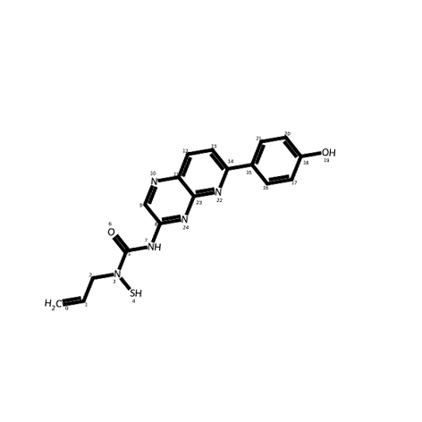 C=CCN(S)C(=O)Nc1cnc2ccc(-c3ccc(O)cc3)nc2n1